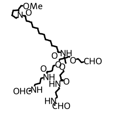 COCC1CCCN1C(=O)CCCCCCCCCCC(=O)NC(COCCC=O)(COCCC(=O)NCCCNC=O)COCCC(=O)NCCCNC=O